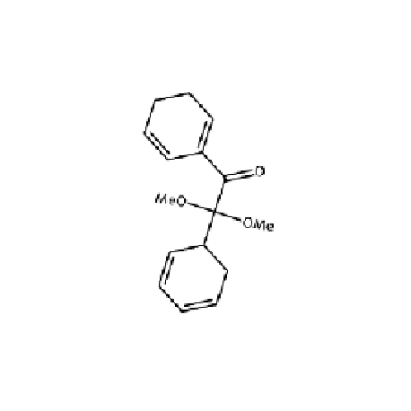 COC(OC)(C(=O)C1=CCCC=C1)C1C=CC=CC1